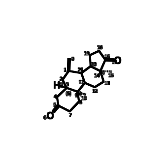 C=C1C[C@H]2CC(=O)CC[C@]2(C)C2CC[C@]3(C)C(=O)CCC3C12